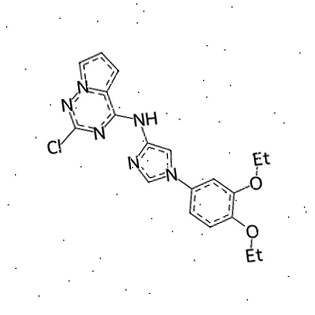 CCOc1ccc(-n2cnc(Nc3nc(Cl)nn4cccc34)c2)cc1OCC